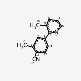 Cc1cc(-c2ncccc2C)ccc1C#N